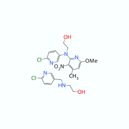 COc1cc(C)c([N+](=O)[O-])c(N(CCO)c2ccc(Cl)nc2)n1.OCCNCc1ccc(Cl)nc1